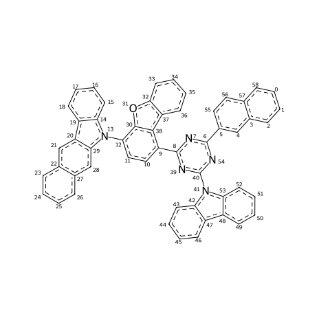 c1ccc2cc(-c3nc(-c4ccc(-n5c6ccccc6c6cc7ccccc7cc65)c5oc6ccccc6c45)nc(-n4c5ccccc5c5ccccc54)n3)ccc2c1